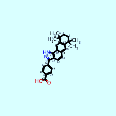 CC1(C)CCC(C)(C)c2cc3c(ccc4c(-c5ccc(C(=O)O)cc5)n[nH]c43)cc21